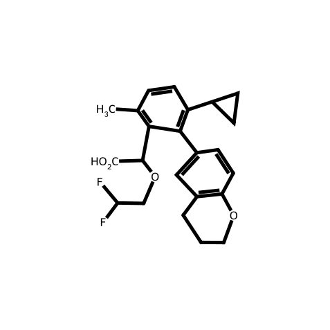 Cc1ccc(C2CC2)c(-c2ccc3c(c2)CCCO3)c1C(OCC(F)F)C(=O)O